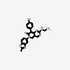 CCc1ccc(-c2c(=O)n(-c3ccc4oc(C)nc4c3)cc3cnc(NCC(F)(F)F)nc23)cc1